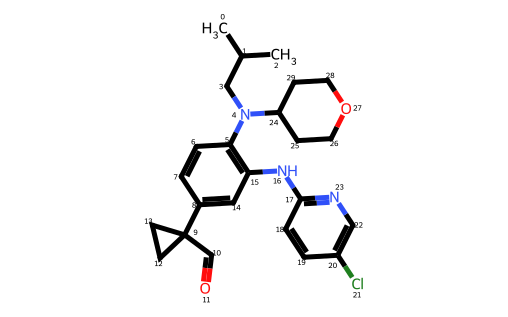 CC(C)CN(c1ccc(C2(C=O)CC2)cc1Nc1ccc(Cl)cn1)C1CCOCC1